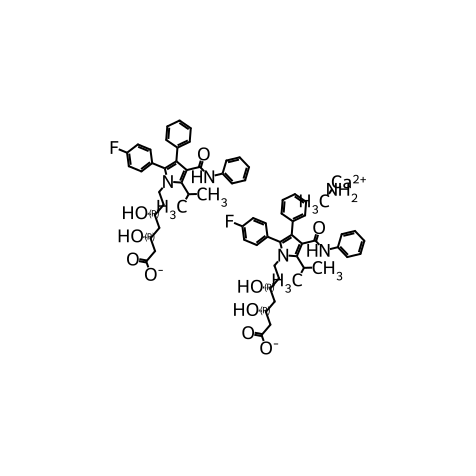 CC(C)c1c(C(=O)Nc2ccccc2)c(-c2ccccc2)c(-c2ccc(F)cc2)n1CC[C@@H](O)C[C@@H](O)CC(=O)[O-].CC(C)c1c(C(=O)Nc2ccccc2)c(-c2ccccc2)c(-c2ccc(F)cc2)n1CC[C@@H](O)C[C@@H](O)CC(=O)[O-].CN.[Ca+2]